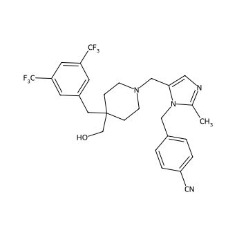 Cc1ncc(CN2CCC(CO)(Cc3cc(C(F)(F)F)cc(C(F)(F)F)c3)CC2)n1Cc1ccc(C#N)cc1